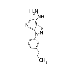 CCCc1cccc(-n2ncc3c(NN)cncc32)c1